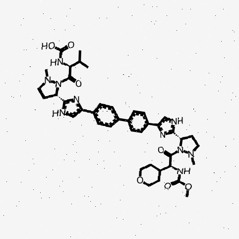 COC(=O)N[C@H](C(=O)N1[C@H](c2nc(-c3ccc(-c4ccc(-c5c[nH]c([C@@H]6CCN(C)N6C(=O)[C@@H](NC(=O)O)C(C)C)n5)cc4)cc3)c[nH]2)CCN1C)C1CCOCC1